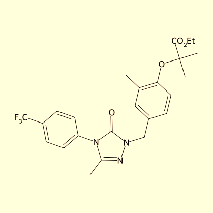 CCOC(=O)C(C)(C)Oc1ccc(Cn2nc(C)n(-c3ccc(C(F)(F)F)cc3)c2=O)cc1C